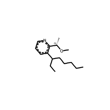 CCCCCC(CC)c1cccnc1[C@H](C)OC